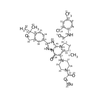 C[C@H]1C[C@@H](C(=O)Nc2ccc(C(F)(F)F)cc2Cl)n2c1c(N1CCN(C(=O)OC(C)(C)C)CC1)c(=O)n1nc(-c3ccc4c(c3)COC4(C)C)nc21